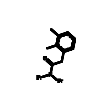 Cc1cccc(CC(=O)N(C(C)C)C(C)C)c1C